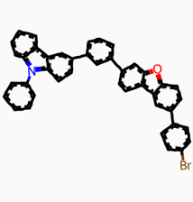 Brc1ccc(-c2ccc3oc4cc(-c5cccc(-c6ccc7c(c6)c6ccccc6n7-c6ccccc6)c5)ccc4c3c2)cc1